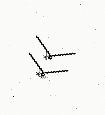 CCCCCCCCCCCCCCCCCc1cccc(NC(=S)[S-])c1CCCCCCCCCCCCCCCCC.CCCCCCCCCCCCCCCCCc1cccc(NC(=S)[S-])c1CCCCCCCCCCCCCCCCC.[Zn+2]